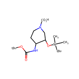 CC(C)(C)OC(=O)NC1CCN(C(=O)O)CC1O[Si](C)(C)C(C)(C)C